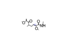 C=C(OC)C(=O)C(C)C/C=C(\OC)C(=O)NC(C)C